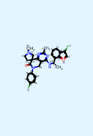 Cc1nc(N[C@H](C)c2cccc3c(F)coc23)c2c(n1)C1(CCN(C)C1)C(=O)N(c1ccc(F)cc1)C2